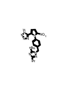 CCCCc1nc(C(C)C)nn1Cc1ccc(-n2c(-c3nnn[nH]3)ccc2[N+](=O)[O-])cc1